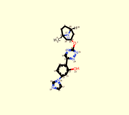 C[C@]12CC[C@H](C[C@@H](Oc3ncc(-c4ccc(-n5ccnc5)cc4O)nn3)C1)N2